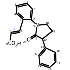 O=C(O)/C=C/c1ccccc1N1CCC(c2ccccc2)C1=O